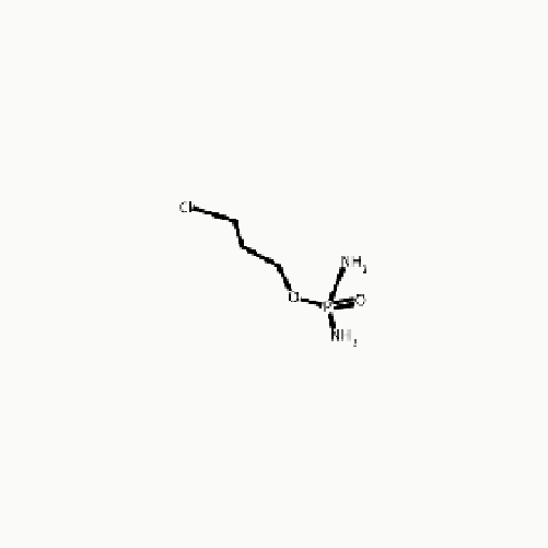 NP(N)(=O)OCCCCl